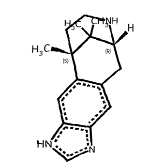 CC1(C)[C@H]2Cc3cc4nc[nH]c4cc3[C@]1(C)CCN2